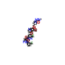 CNC(=O)CN1CCC(COc2cc3nccc(Oc4ccc(NC(=O)C5(C(=O)Nc6cccc(F)c6)CC5)cc4F)c3cc2OC)CC1